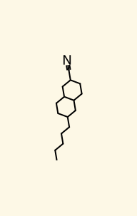 CCCCCC1CCC2CC(C#N)CCC2C1